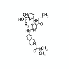 C=CCn1c(=O)c2cnc(Nc3ccc4c(c3)CN(CC(=O)N(C)C)CC4)nc2n1-c1cccc(C(C)(C)O)n1